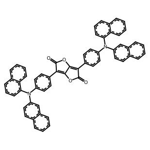 O=C1OC2=C(c3ccc(N(c4ccc5ccccc5c4)c4cccc5ccccc45)cc3)C(=O)OC2=C1c1ccc(N(c2ccc3ccccc3c2)c2cccc3ccccc23)cc1